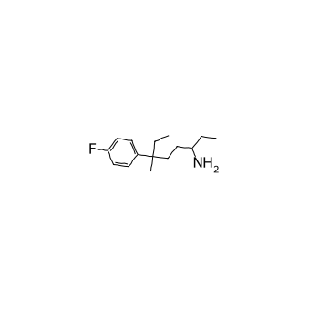 CCC(N)CCC(C)(CC)c1ccc(F)cc1